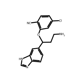 N#Cc1ccc(Cl)cc1OC(CCN)c1ccc2nc[nH]c2c1